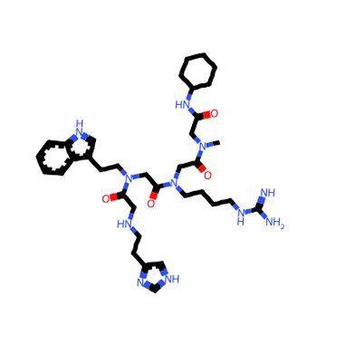 CN(CC(=O)NC1CCCCC1)C(=O)CN(CCCCNC(=N)N)C(=O)CN(CCc1c[nH]c2ccccc12)C(=O)CNCCc1c[nH]cn1